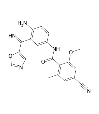 COc1cc(C#N)cc(C)c1C(=O)Nc1ccc(N)c(C(=N)c2cnco2)c1